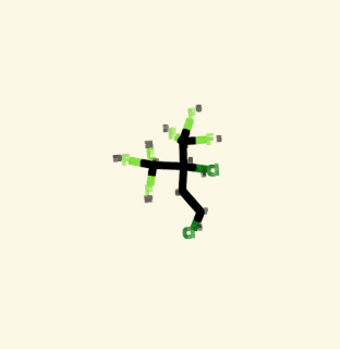 FC(F)(F)C(Cl)(CCCl)C(F)(F)F